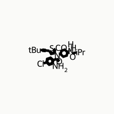 CC(C)C(=O)N[C@H]1CC[C@H](N(C(=O)c2ccc(Cl)cc2N)c2cc(C#CC(C)(C)C)sc2C(=O)O)CC1